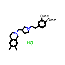 COc1ccc(CCN2CCC(CN3CCc4cc(C)c(C)cc4C3)C2)cc1OC.Cl.Cl